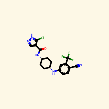 N#Cc1ccc(N[C@H]2CC[C@@H](NC(=O)c3cn[nH]c3Cl)CC2)cc1C(F)(F)F